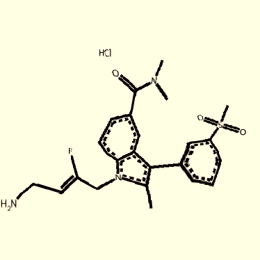 Cc1c(-c2cccc(S(C)(=O)=O)c2)c2cc(C(=O)N(C)C)ccc2n1CC(F)=CCN.Cl